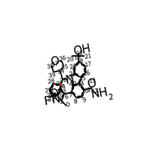 Cc1noc(C)c1-c1ccc(C(N)=O)c2c3ccc(C(C)(C)O)cc3n(C(c3ccc(F)cc3)C3CCOCC3)c12